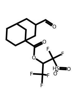 O=CC1CC2CCCC(C(=O)OC(C(F)(F)F)C(F)(F)[SH](=O)=O)(C1)C2